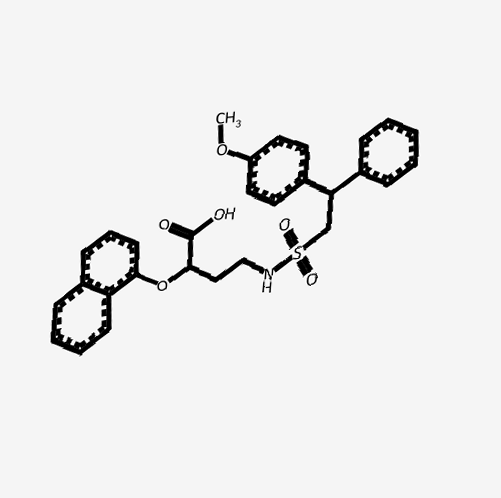 COc1ccc(C(CS(=O)(=O)NCCC(Oc2cccc3ccccc23)C(=O)O)c2ccccc2)cc1